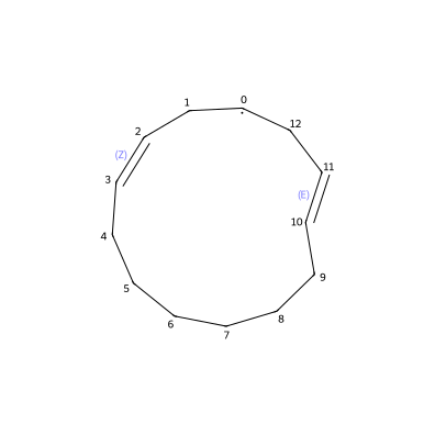 [CH]1C/C=C\CCCCCC/C=C/C1